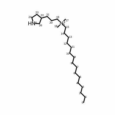 CCCCCCCCCCCCCCCC[N+](C)(C)CCCC1CCNC1